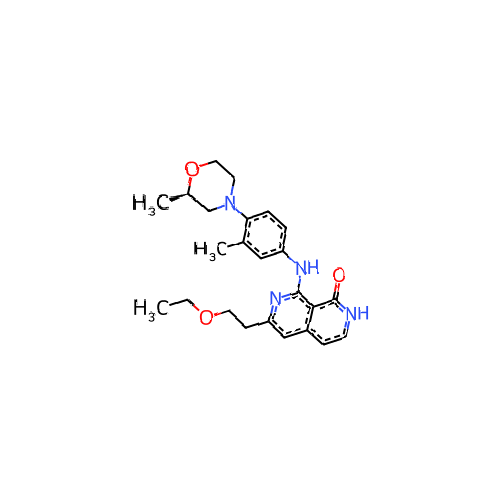 CCOCCc1cc2cc[nH]c(=O)c2c(Nc2ccc(N3CCO[C@H](C)C3)c(C)c2)n1